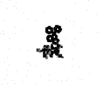 C=CCOC(=O)N1C[C@@H](SC(c2ccccc2)(c2ccccc2)c2ccccc2)C[C@H]1CC1C(=O)NC(=O)N1[Si](C)(C)C(C)(C)C